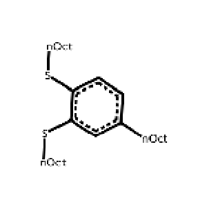 CCCCCCCCSc1ccc(CCCCCCCC)cc1SCCCCCCCC